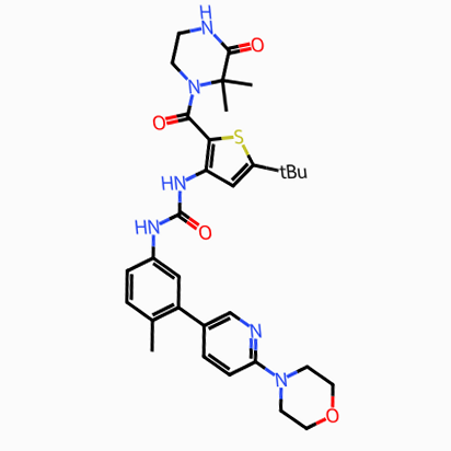 Cc1ccc(NC(=O)Nc2cc(C(C)(C)C)sc2C(=O)N2CCNC(=O)C2(C)C)cc1-c1ccc(N2CCOCC2)nc1